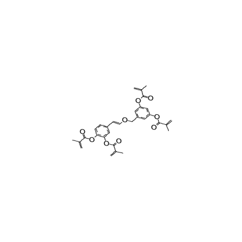 C=C(C)C(=O)Oc1cc(CO/C=C/c2ccc(OC(=O)C(=C)C)c(OC(=O)C(=C)C)c2)cc(OC(=O)C(=C)C)c1